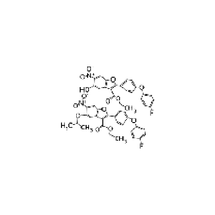 CCOC(=O)c1c(-c2ccc(Oc3ccc(F)cc3)cc2)oc2cc([N+](=O)[O-])c(O)cc12.CCOC(=O)c1c(-c2ccc(Oc3ccc(F)cc3)cc2)oc2cc([N+](=O)[O-])c(OC(C)C)cc12